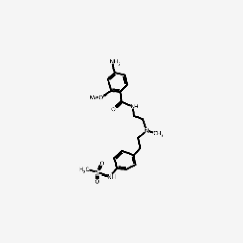 COc1cc(N)ccc1C(=O)NCCN(C)CCc1ccc(NS(C)(=O)=O)cc1